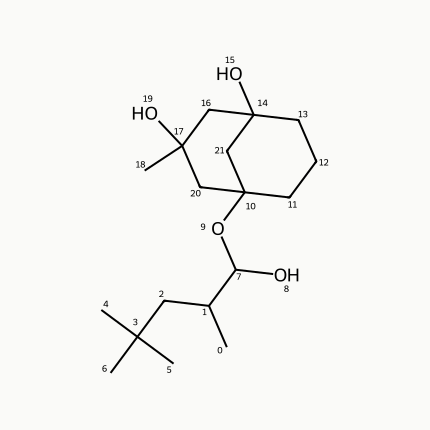 CC(CC(C)(C)C)C(O)OC12CCCC(O)(CC(C)(O)C1)C2